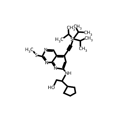 CSc1ncc2c(C#C[Si](C(C)C)(C(C)C)C(C)C)cc(NC(CO)C3CCCC3)nc2n1